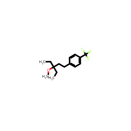 CCC(CC)(CCc1ccc(C(F)(F)F)cc1)O[SiH3]